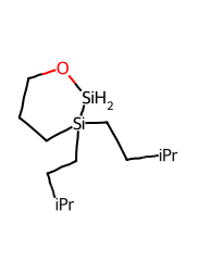 CC(C)CC[Si]1(CCC(C)C)CCCO[SiH2]1